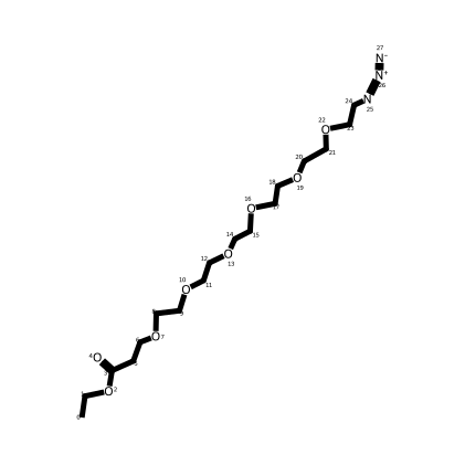 CCOC(=O)CCOCCOCCOCCOCCOCCOCCN=[N+]=[N-]